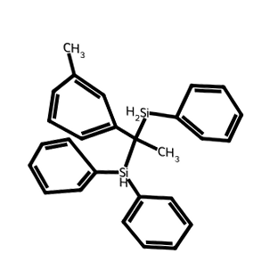 Cc1cccc(C(C)([SiH2]c2ccccc2)[SiH](c2ccccc2)c2ccccc2)c1